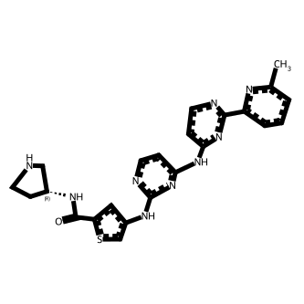 Cc1cccc(-c2nccc(Nc3ccnc(Nc4csc(C(=O)N[C@@H]5CCNC5)c4)n3)n2)n1